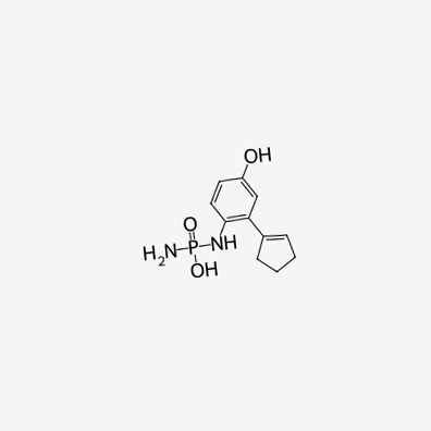 NP(=O)(O)Nc1ccc(O)cc1C1=CCCC1